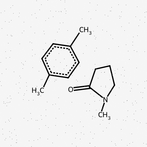 CN1CCCC1=O.Cc1ccc(C)cc1